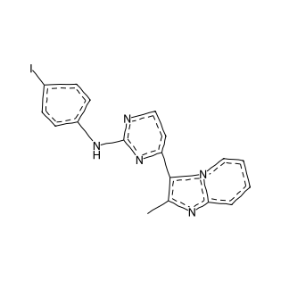 Cc1nc2ccccn2c1-c1ccnc(Nc2ccc(I)cc2)n1